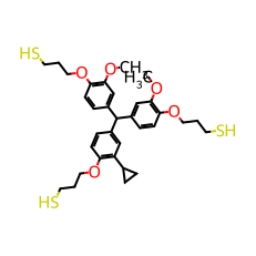 COc1cc(C(c2ccc(OCCCS)c(OC)c2)c2ccc(OCCCS)c(C3CC3)c2)ccc1OCCCS